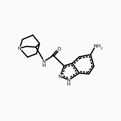 Nc1ccc2[nH]nc(C(=O)NC3CN4CCC3CC4)c2c1